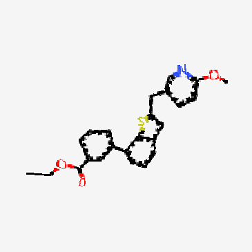 CCOC(=O)c1cccc(-c2cccc3cc(Cc4ccc(OC)nc4)sc23)c1